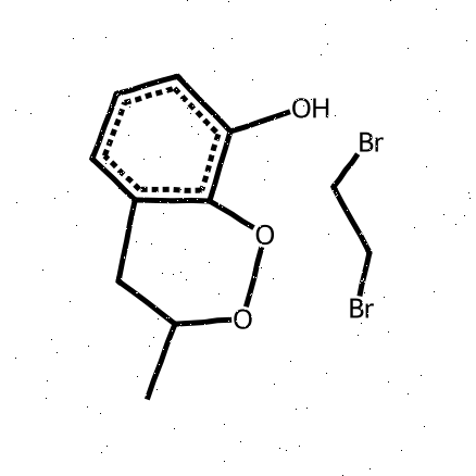 BrCCBr.CC1Cc2cccc(O)c2OO1